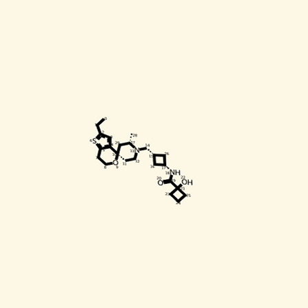 CCc1cc2c(s1)CCO[C@@]21CCN(C[C@H]2C[C@@H](NC(=O)C3(O)CCC3)C2)[C@@H](C)C1